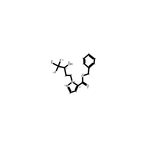 O=C(OCc1ccccc1)c1ccnn1CCC(O)C(F)(F)F